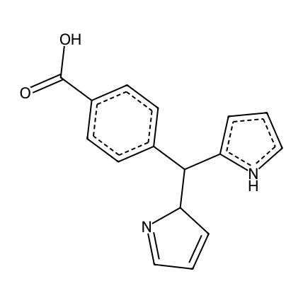 O=C(O)c1ccc(C(c2ccc[nH]2)C2C=CC=N2)cc1